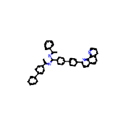 C=C(/N=C(\N=C(/C)c1ccccc1)c1ccc(-c2ccc(-c3ccc4ccc5cccnc5c4n3)cc2)cc1)c1ccc(-c2ccccc2)cc1